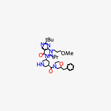 COCCCNc1nc(C(C)(C)C)ncc1C(=O)N(CC(C)C)[C@@H]1CNC[C@H](C(=O)N2CCOC(Cc3ccccc3)C2)C1